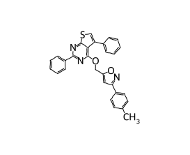 Cc1ccc(-c2cc(COc3nc(-c4ccccc4)nc4scc(-c5ccccc5)c34)on2)cc1